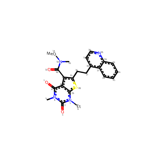 CCn1c(=O)n(C)c(=O)c2c(C(=O)N(C)OC)c(CCc3ccnc4ccccc34)sc21